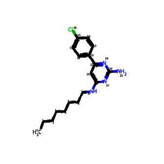 CCCCCCCCNc1cc(-c2ccc(Cl)cc2)nc(N)n1